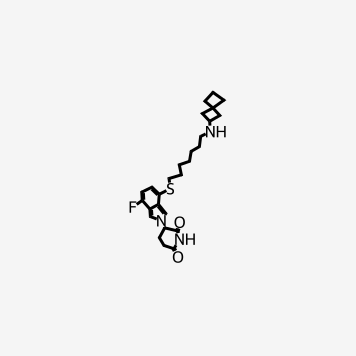 O=C1CCC(n2cc3c(F)ccc(SCCCCCCCNC4CC5(CCC5)C4)c3c2)C(=O)N1